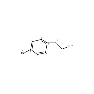 FCSc1ccc(Br)cc1